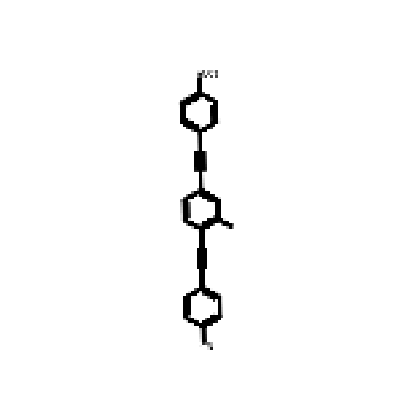 CCCCCCCCc1ccc(C#Cc2ccc(C#Cc3ccc(C#N)cc3)c(F)c2)cc1